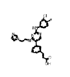 O=C(O)C=Cc1cccc(-c2cnc(Nc3ccc(F)c(Cl)c3)nc2NCCn2ccnc2)c1